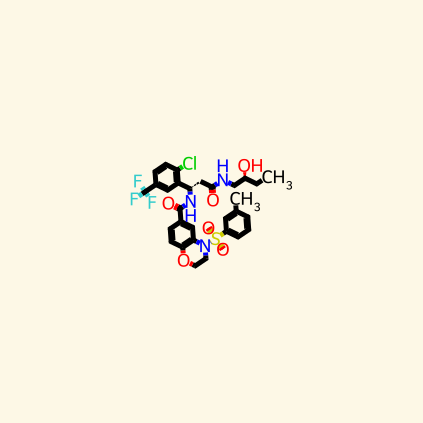 CC[C@H](O)CNC(=O)C[C@H](NC(=O)c1ccc2c(c1)N(S(=O)(=O)c1cccc(C)c1)CCO2)c1cc(C(F)(F)F)ccc1Cl